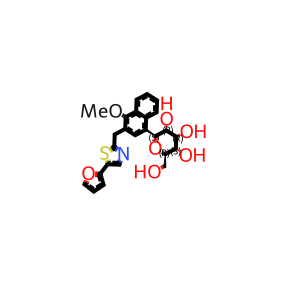 COc1c(Cc2ncc(-c3ccco3)s2)cc([C@@H]2O[C@H](CO)[C@@H](O)[C@H](O)[C@H]2O)c2ccccc12